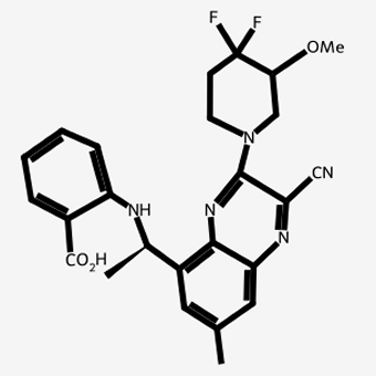 COC1CN(c2nc3c([C@@H](C)Nc4ccccc4C(=O)O)cc(C)cc3nc2C#N)CCC1(F)F